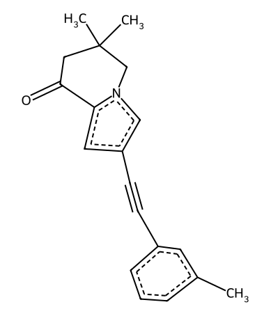 Cc1cccc(C#Cc2cc3n(c2)CC(C)(C)CC3=O)c1